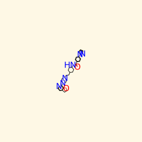 O=C(NC1CCC(CCN2CCN(c3nccc4c3OCC4)CC2)CC1)c1ccc(-n2cccn2)cc1